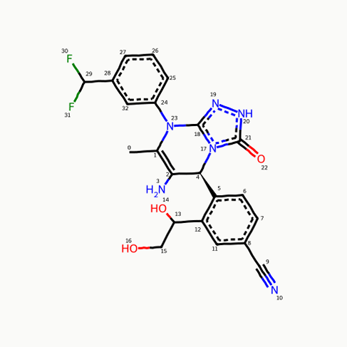 CC1=C(N)[C@H](c2ccc(C#N)cc2C(O)CO)n2c(n[nH]c2=O)N1c1cccc(C(F)F)c1